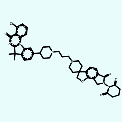 CC1(C)c2ccc(C3CCN(CCCN4CCC5(CC4)COc4c5ccc5c4CN(N4C(=O)CCCC4=O)C5=O)CC3)cc2-n2c1nc(=O)c1c(Cl)cccc12